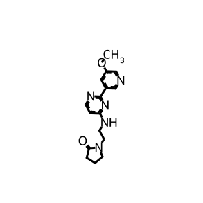 COc1cncc(-c2nccc(NCCN3CCCC3=O)n2)c1